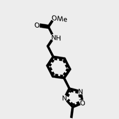 COC(=O)NCc1ccc(-c2noc(C)n2)cc1